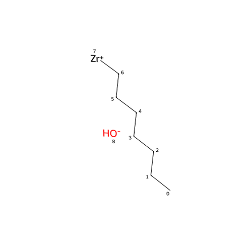 CCCCCC[CH2][Zr+].[OH-]